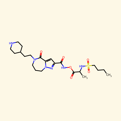 CCCCS(=O)(=O)NC(C)C(=O)ONC(=O)c1cc2n(n1)CCCN(CCC1CCNCC1)C2=O